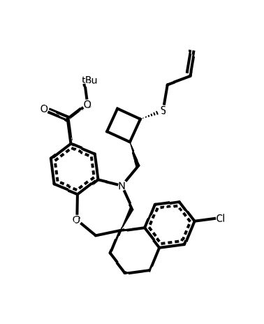 C=CCS[C@H]1CC[C@@H]1CN1C[C@@]2(CCCc3cc(Cl)ccc32)COc2ccc(C(=O)OC(C)(C)C)cc21